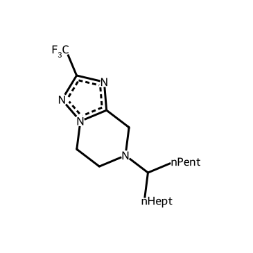 CCCCCCCC(CCCCC)N1CCn2nc(C(F)(F)F)nc2C1